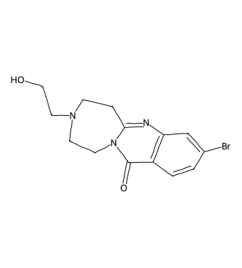 O=c1c2ccc(Br)cc2nc2n1CCN(CCO)CC2